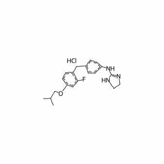 CC(C)COc1ccc(Cc2ccc(NC3=NCCN3)cc2)c(F)c1.Cl